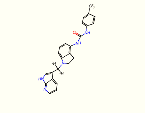 [2H]C([2H])(c1c[nH]c2ncccc12)N1CCc2c(NC(=O)Nc3ccc(C(F)(F)F)cc3)cccc21